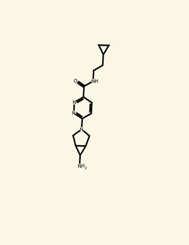 NC1C2CN(c3ccc(C(=O)NCCC4CC4)nn3)CC12